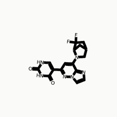 O=c1[nH]cc(-c2cc(N3CC4CC3C(F)(F)C4)c3nccn3n2)c(=O)[nH]1